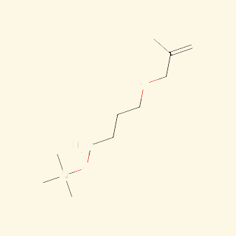 C=C(C)COCCC[SiH2]O[Si](C)(C)C